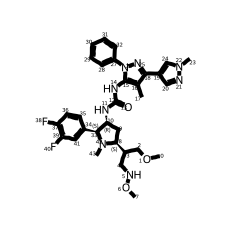 COCC(CNOC)[C@@H]1C[C@@H](NC(=O)Nc2c(C)c(-c3cnn(C)c3)nn2-c2ccccc2)[C@H](c2ccc(F)c(F)c2)N1C